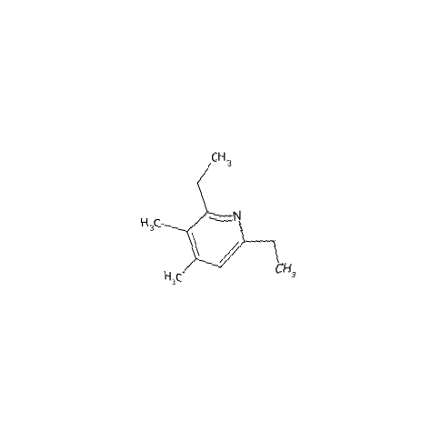 CCc1cc(C)c(C)c(CC)n1